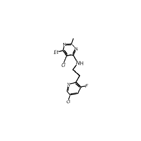 CCc1nc(C)nc(NCCc2ncc(Cl)cc2F)c1Cl